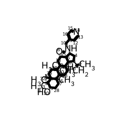 C=C(C)[C@@H]1CC[C@]2(C(=O)NCc3ccncc3)CC[C@]3(C)[C@H](CCC4[C@@]5(C)CC[C@H](O)C(C)(C)C5(I)CC[C@]43C)C12